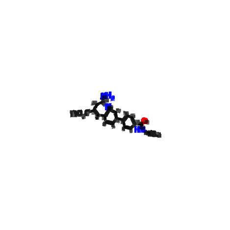 CCOC(=O)C1=Cc2ccc(-c3ccc(C(=O)NC(C)(C)C)cc3)cc2N=C(N)C1